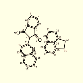 O=C1c2ccccc2C(=O)C1c1ccc2ccccc2n1.c1cc2c3c(cccc3c1)CC2